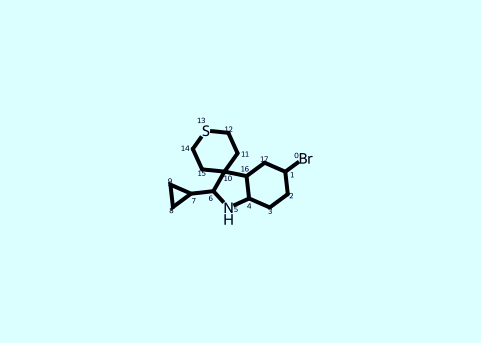 BrC1CCC2NC(C3CC3)C3(CCSCC3)C2C1